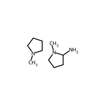 CN1CCCC1.CN1CCCC1N